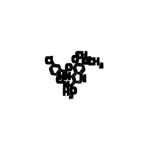 COc1cc2ncc(C(N)=O)c(NC(=O)c3cc(Cl)ccc3Cl)c2cc1OC